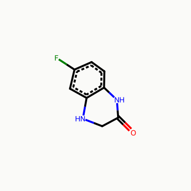 O=C1CNc2cc(F)ccc2N1